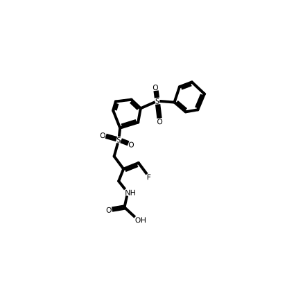 O=C(O)NCC(=CF)CS(=O)(=O)c1cccc(S(=O)(=O)c2ccccc2)c1